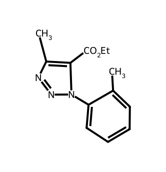 CCOC(=O)c1c(C)nnn1-c1ccccc1C